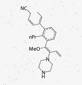 C=C/C(=C(/OC)c1cccc(C(/C=C\CC#N)=C/C)c1CCC)N1CCNCC1